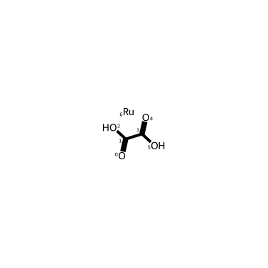 O=C(O)C(=O)O.[Ru]